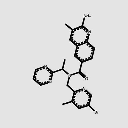 Cc1cc2cc(C(=O)N(Cc3ncc(Br)cc3C)C(C)c3ncccn3)ccc2nc1N